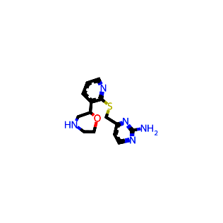 Nc1nccc(CSc2ncccc2C2CNCCO2)n1